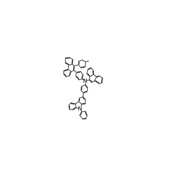 CC1C=CC(c2c(-c3ccc(N(c4ccc(-c5ccc6c(c5)c5ccccc5n6-c5ccccc5)cc4)c4cc5ccccc5c5ccccc45)cc3)c3ccccc3c3ccccc23)=CC1